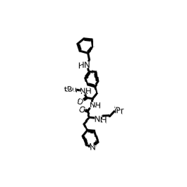 CC(C)CCNC(Cc1ccncc1)C(=O)NC(Cc1ccc(NCc2ccccc2)cc1)C(=O)NC(C)(C)C